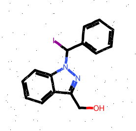 OCc1nn(C(I)c2ccccc2)c2ccccc12